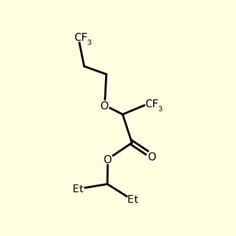 CCC(CC)OC(=O)C(OCCC(F)(F)F)C(F)(F)F